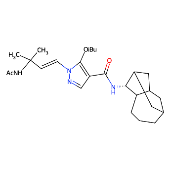 CC(=O)NC(C)(C)/C=C/n1ncc(C(=O)N[C@@H]2C3CC4CCCC2C(C4)C3)c1OCC(C)C